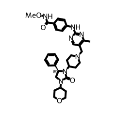 CONC(=O)c1ccc(Nc2ncc(CN3CCC(N4C(=O)N(C5CCOCC5)C[C@H]4c4ccccc4)CC3)c(C)n2)cc1